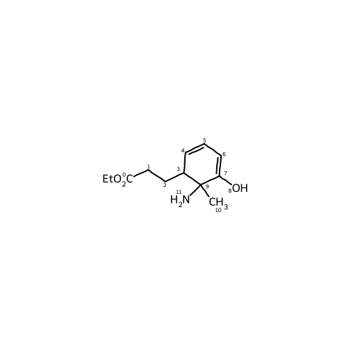 CCOC(=O)CCC1C=CC=C(O)C1(C)N